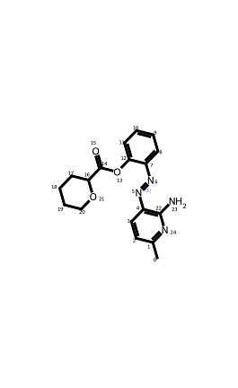 Cc1ccc(/N=N/c2ccccc2OC(=O)C2CCCCO2)c(N)n1